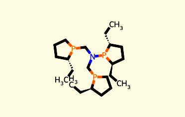 CC[C@@H]1CCCP1CN(CP1CCC[C@H]1CC)P1[C@H](CC)CC[C@H]1CC